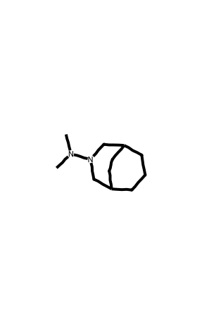 CN(C)N1CC2CCCC(CC2)C1